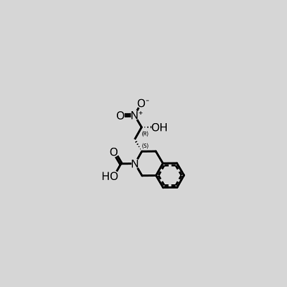 O=C(O)N1Cc2ccccc2C[C@H]1C[C@@H](O)[N+](=O)[O-]